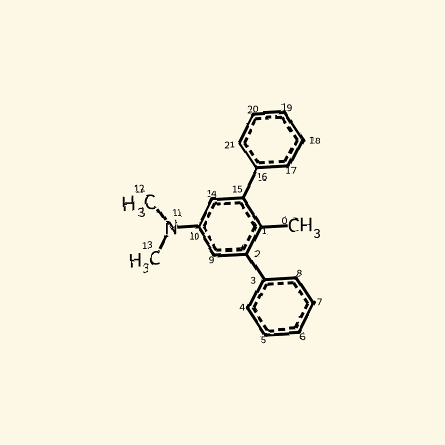 Cc1c(-c2ccccc2)cc(N(C)C)cc1-c1ccccc1